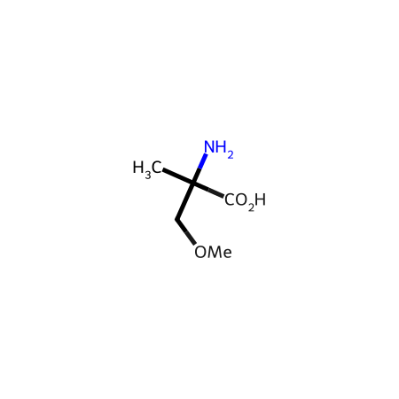 COCC(C)(N)C(=O)O